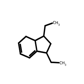 CCC1CC(CC)C2CC=CC=C12